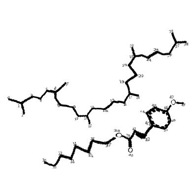 CC(C)CCCC(C)CCCC(C)CCCCC(C)CCCC(C)CCCC(C)C.CCCCCCCCOC(=O)C=Cc1ccc(OC)cc1